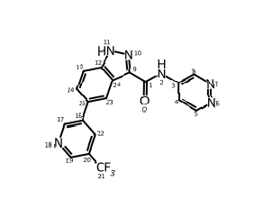 O=C(Nc1ccnnc1)c1n[nH]c2ccc(-c3cncc(C(F)(F)F)c3)cc12